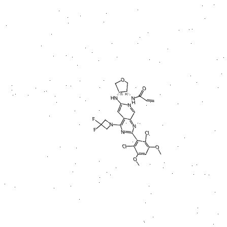 C=CC(=O)N[C@H]1COC[C@H]1Nc1cc2c(N3CC(F)(F)C3)nc(-c3c(Cl)c(OC)cc(OC)c3Cl)nc2cn1